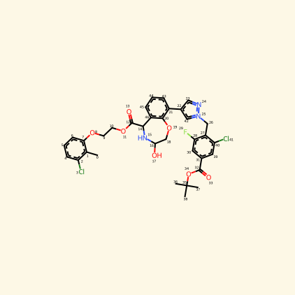 Cc1c(Cl)cccc1OCCOC(=O)C1NC(O)COc2c(-c3cnn(Cc4c(F)cc(C(=O)OC(C)(C)C)cc4Cl)c3)cccc21